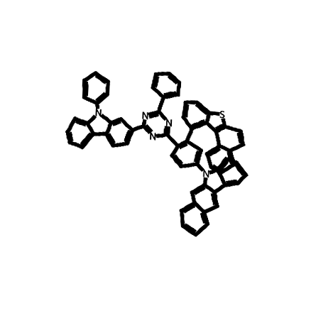 c1ccc(-c2nc(-c3ccc4c5ccccc5n(-c5ccccc5)c4c3)nc(-c3ccc(-n4c5ccccc5c5cc6ccccc6cc54)cc3-c3cccc4sc5ccc6ccccc6c5c34)n2)cc1